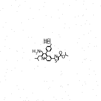 Cc1ccc(-c2c(CN)c(CC(C)C)nc3ccc(-c4nc(C(=O)OC(C)C)cs4)cc23)cc1.Cl.Cl